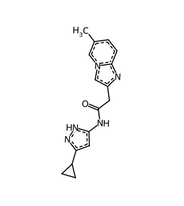 Cc1ccc2nc(CC(=O)Nc3cc(C4CC4)n[nH]3)cn2c1